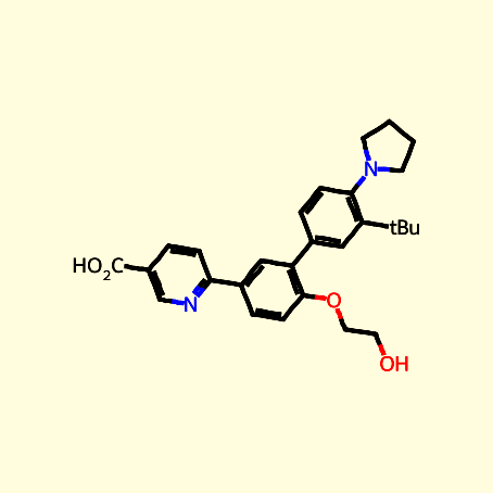 CC(C)(C)c1cc(-c2cc(-c3ccc(C(=O)O)cn3)ccc2OCCO)ccc1N1CCCC1